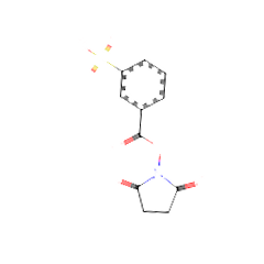 O=C(ON1C(=O)CCC1=O)c1cccc(S(=O)(=O)O)c1